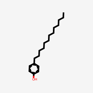 CCCCCCCCCCCCCc1ccc(O)cc1